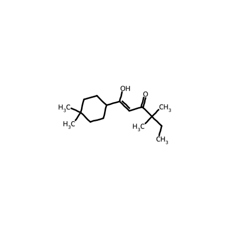 CCC(C)(C)C(=O)/C=C(\O)C1CCC(C)(C)CC1